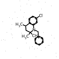 CC1CC(C)(C)N(Cc2ccccc2)c2cc(Cl)ccc21